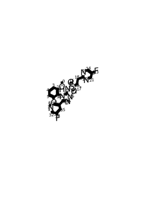 COc1cccc(OC)c1-n1c(NS(=O)(=O)[C@@H](C)Cc2ncc(F)cn2)nnc1-c1cncc(F)c1